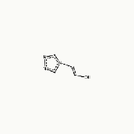 OC=Cn1cnnc1